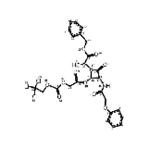 O=C(COc1ccccc1)N[C@@H]1C(=O)N(C(O)C(=O)OCc2ccccc2)[C@@H]1OC(=O)COC(=O)OCC(Cl)(Cl)Cl